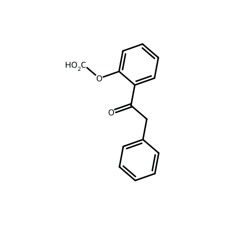 O=C(O)Oc1ccccc1C(=O)Cc1ccccc1